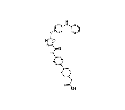 O=C(O)CC1CCC(c2ccc(NC(=O)c3nnc(Nc4ccc(Nc5ccccc5)cc4)o3)cc2)CC1